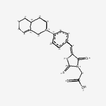 O=C(O)CN1C(=O)C(=Cc2ccc(N3CCC4CCCC=C4C3)cc2)SC1=S